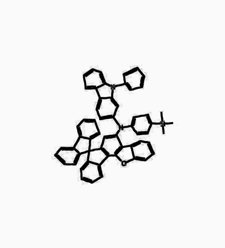 C[Si](C)(C)c1ccc(N(c2ccc3c4ccccc4n(-c4ccccc4)c3c2)c2cc3c(c4oc5ccccc5c24)-c2ccccc2C32c3ccccc3-c3ccccc32)cc1